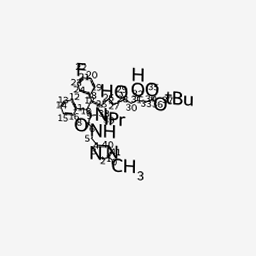 Cc1cnc(CNC(=O)c2c(-c3ccccc3)c(-c3ccc(F)cc3)c(/C=C/[C@@H](O)C[C@@H](O)CC(=O)OC(C)(C)C)n2C(C)C)cn1